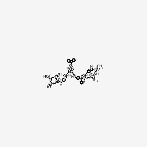 CCC(=O)NCCNC(=O)/N=C(/N)NCCC[C@@H](NC(=O)C(c1ccccc1)c1ccc(NCCCNC(=O)[C@@H](CCCNC(=O)CN2CCC(NC(=O)CN3CCN(CC(=O)O)CCN(CC(=O)O)CCN(CC(=O)O)CC3)CC2)NC(=O)OCC2c3ccccc3-c3ccccc32)cc1)C(=O)NCc1ccc(O)cc1